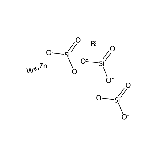 O=[Si]([O-])[O-].O=[Si]([O-])[O-].O=[Si]([O-])[O-].[B].[W+6].[Zn]